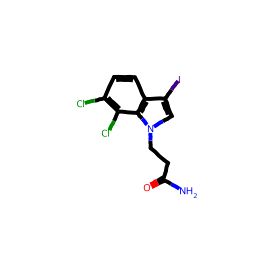 NC(=O)CCn1cc(I)c2ccc(Cl)c(Cl)c21